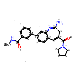 CC(C)(C)NC(=O)c1cccc(-c2ccc3c(c2)N=C(N)CC(C(=O)N2CCCC2)=C3)c1